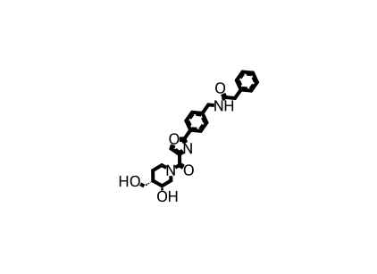 O=C(Cc1ccccc1)NCc1ccc(-c2nc(C(=O)N3CC[C@@H](CO)[C@H](O)C3)co2)cc1